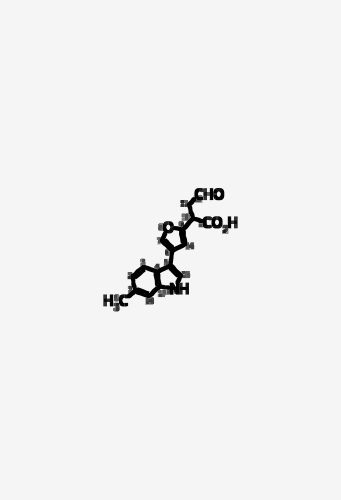 Cc1ccc2c(-c3coc(C(CC=O)C(=O)O)c3)c[nH]c2c1